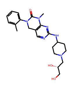 Cc1ccccc1N1Cc2cnc(NC3CCN(C[C@@H](O)CO)CC3)nc2N(C)C1=O